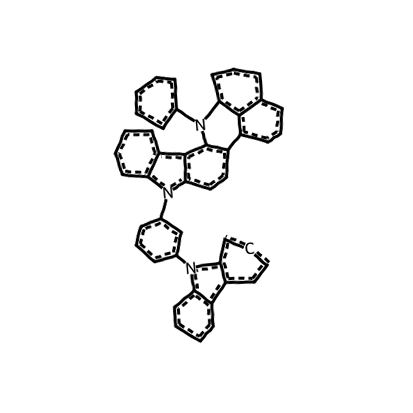 c1ccc(N2c3cccc4cccc(c34)-c3ccc4c(c32)c2ccccc2n4-c2cccc(-n3c4ccccc4c4ccccc43)c2)cc1